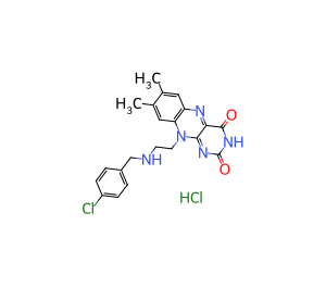 Cc1cc2nc3c(=O)[nH]c(=O)nc-3n(CCNCc3ccc(Cl)cc3)c2cc1C.Cl